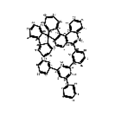 c1ccc(-c2cc(-c3ccccc3)nc(-c3cccc(-c4nc5ccccc5c5c6c(ccc45)C4(c5ccccc5-c5ccccc54)c4ccccc4-6)c3)n2)cc1